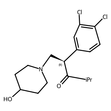 CC(C)C(=O)[C@@H](CN1CCC(O)CC1)c1ccc(Cl)c(Cl)c1